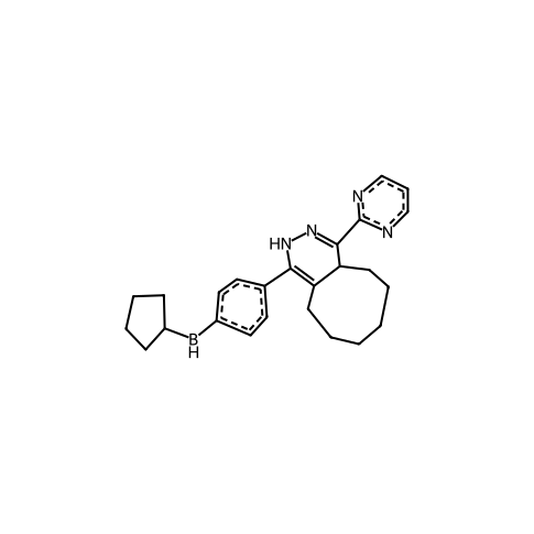 B(c1ccc(C2=C3CCCCCCC3C(c3ncccn3)=NN2)cc1)C1CCCC1